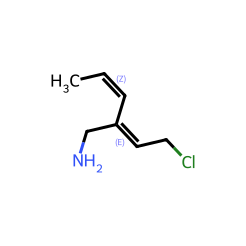 C/C=C\C(=C/CCl)CN